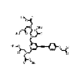 CC(C)(C)OC(=O)CN(CCN(CC(=O)OC(C)(C)C)Cc1cc(C#Cc2ccc(OCC(=O)Cl)cc2)cc(CN(CC(=O)OC(C)(C)C)CC(=O)OC(C)(C)C)n1)CC(=O)OC(C)(C)C